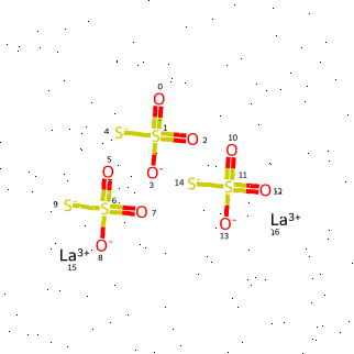 O=S(=O)([O-])[S-].O=S(=O)([O-])[S-].O=S(=O)([O-])[S-].[La+3].[La+3]